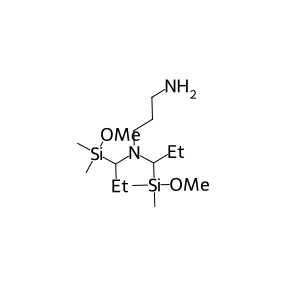 CCC(N(CCCN)C(CC)[Si](C)(C)OC)[Si](C)(C)OC